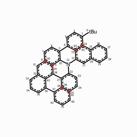 CC(C)(C)c1ccc(-c2ccccc2N(c2ccc3ccccc3c2)c2ccccc2-c2cccc3cccc(-c4ccccc4)c23)cc1